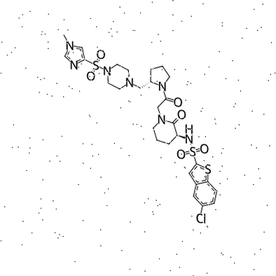 Cn1cnc(S(=O)(=O)N2CCN(C[C@@H]3CCCN3C(=O)CN3CCC[C@H](NS(=O)(=O)c4cc5cc(Cl)ccc5s4)C3=O)CC2)c1